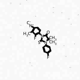 [C-]#[N+]c1ccc(N2C(=O)C(C)(C)N(c3ccc(F)cc3)C2=S)c(F)c1C